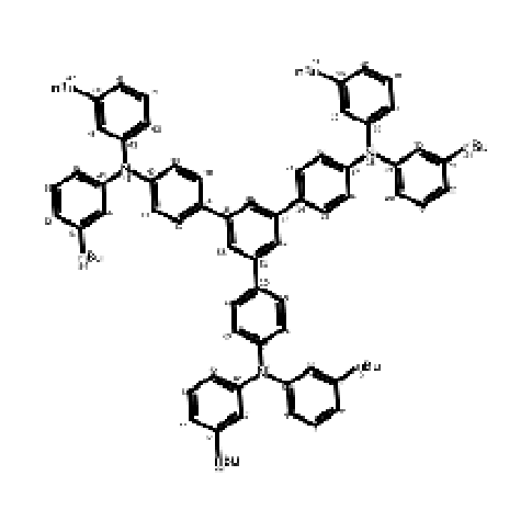 CCCCc1cccc(N(c2ccc(-c3cc(-c4ccc(N(c5cccc(CCCC)c5)c5cccc(CCCC)c5)cc4)cc(-c4ccc(N(c5cccc(CCCC)c5)c5cccc(CCCC)c5)cc4)c3)cc2)c2cccc(CCCC)c2)c1